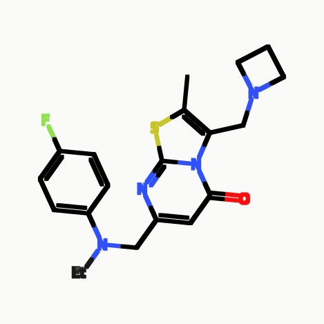 CCN(Cc1cc(=O)n2c(CN3CCC3)c(C)sc2n1)c1ccc(F)cc1